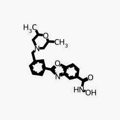 CC1CN(Cc2cccc(-c3nc4cc(C(=O)NO)ccc4o3)c2)CC(C)O1